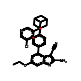 CCOc1cc(-c2ccc(N3CC4CC(C3)N4Cc3cncc(Cl)c3)nc2)c2c(C#N)c(N)nn2c1